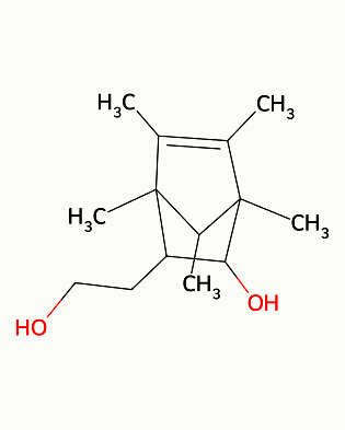 CC1=C(C)C2(C)C(CCO)C(O)C1(C)C2C